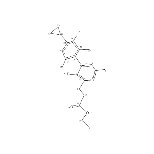 C=C(C)/C=C(\C(F)=C(/F)CCC(=O)OCC)c1c(C)cc(C2CC2)c(F)c1C